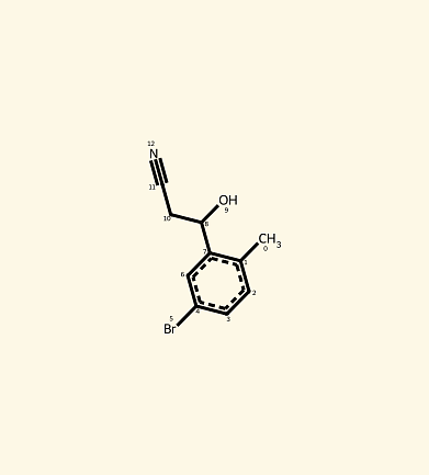 Cc1ccc(Br)cc1C(O)CC#N